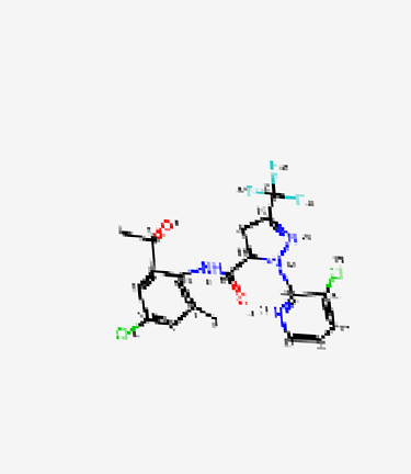 CC(=O)c1cc(Cl)cc(C)c1NC(=O)C1CC(C(F)(F)F)=NN1c1ncccc1Cl